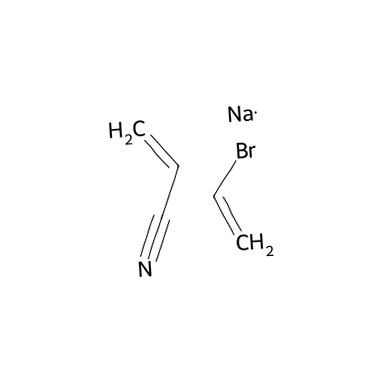 C=CBr.C=CC#N.[Na]